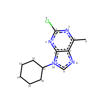 Cc1nc(Cl)nc2c1ncn2C1CCCCC1